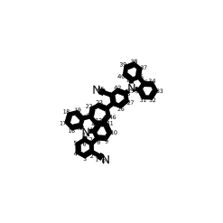 N#CC1=CC=CC2C1c1ccccc1N2c1ccccc1C1=CC=C(c2ccc(-n3c4ccccc4c4ccccc43)cc2C#N)C=CC1